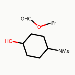 CC(C)OC=O.CNC1CCC(O)CC1